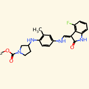 Cc1cc(N/C=C2\C(=O)Nc3cccc(F)c32)ccc1NC1CCN(C(=O)OC(C)(C)C)C1